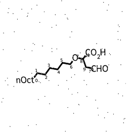 CCCCCCCCCCCCCCOC(CC=O)C(=O)O